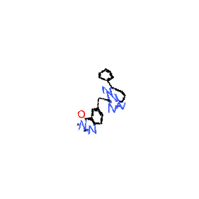 Cn1cnc2ccc(Cc3nnc4ccc(-c5ccccc5)nn34)cc2c1=O